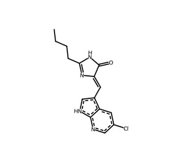 CCCCC1=NC(=Cc2c[nH]c3ncc(Cl)cc23)C(=O)N1